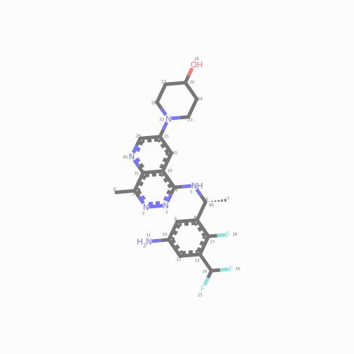 Cc1nnc(N[C@H](C)c2cc(N)cc(C(F)F)c2F)c2cc(N3CCC(O)CC3)cnc12